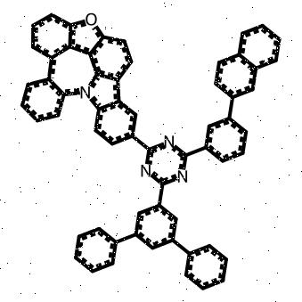 c1ccc(-c2cc(-c3ccccc3)cc(-c3nc(-c4cccc(-c5ccc6ccccc6c5)c4)nc(-c4ccc5c(c4)c4ccc6oc7cccc8c9ccccc9n5c4c6c78)n3)c2)cc1